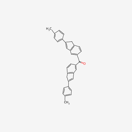 Cc1ccc(C2=Cc3cc(C(=O)c4ccc5c(c4)C=C(c4ccc(C)cc4)C5)ccc3C2)cc1